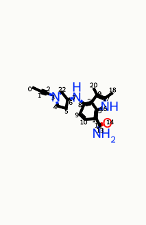 CC#CN1CCC(Nc2ccc(C(N)=O)c3[nH]c(C)c(C)c23)C1